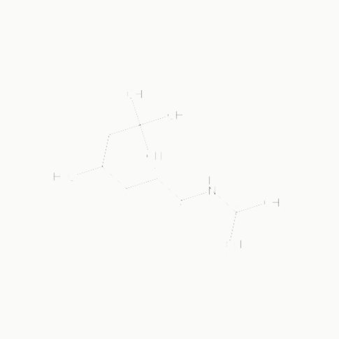 CC(CCCNC(C)C)CC(C)(C)C